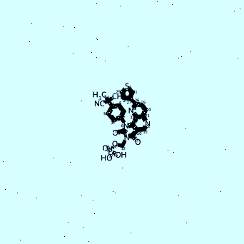 CC(C)(C#N)c1ccc(-n2c(=O)n(COP(=O)(O)O)c(=O)c3cnc4ccc(-c5ccsc5)nc4c32)cc1